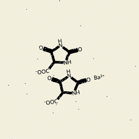 O=C1NC(=O)C(C(=O)[O-])N1.O=C1NC(=O)C(C(=O)[O-])N1.[Ba+2]